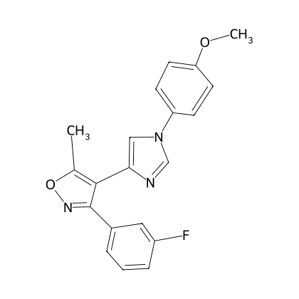 COc1ccc(-n2cnc(-c3c(-c4cccc(F)c4)noc3C)c2)cc1